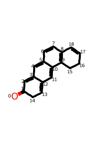 O=C1C=c2cc3ccc4c(c3cc2=CC1)CCC=C4